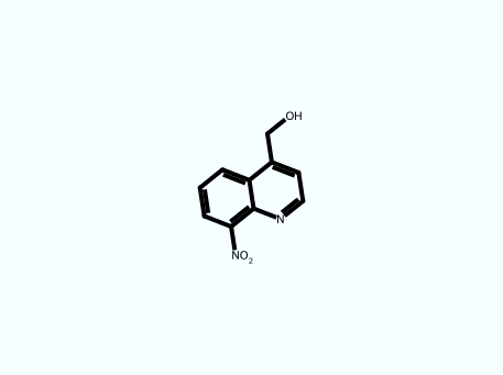 O=[N+]([O-])c1cccc2c(CO)ccnc12